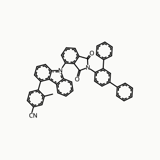 Cc1cc(C#N)ccc1-c1cccc2c1c1ccccc1n2-c1cccc2c1C(=O)N(c1ccc(-c3ccccc3)cc1-c1ccccc1)C2=O